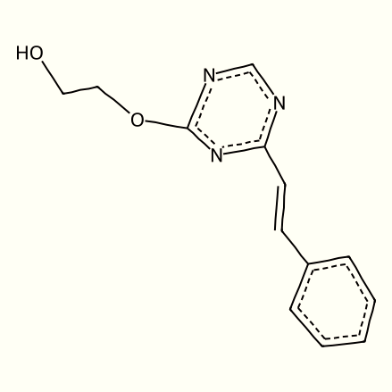 OCCOc1ncnc(C=Cc2ccccc2)n1